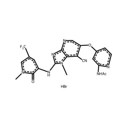 Br.CC(=O)Nc1cc(Oc2cnc3nc(Nc4cc(C(F)(F)F)cn(C)c4=O)n(C)c3c2C#N)ccn1